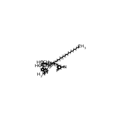 CCCCCCCCCCCCCCCCCCC[C@@H](COP(=O)(O)OC[C@@]1(C)O[C@@H](c2ccc3c(N)ncnn23)[C@H](O)[C@@H]1O)OCc1cc(F)cc(C#N)c1